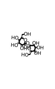 OC[C@H]1O[C@H](O[C@@]2(O)O[C@H](CO)[C@H](O)[C@H](O)[C@H]2O)[C@H](O)[C@@H](O)[C@H]1O